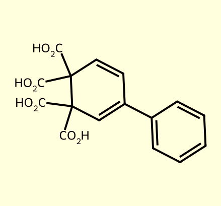 O=C(O)C1(C(=O)O)C=CC(c2ccccc2)=CC1(C(=O)O)C(=O)O